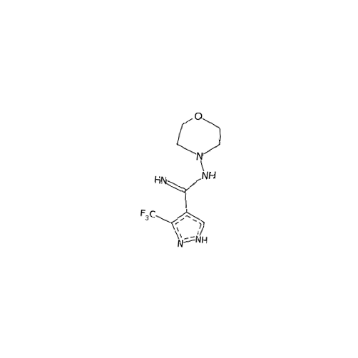 N=C(NN1CCOCC1)c1c[nH]nc1C(F)(F)F